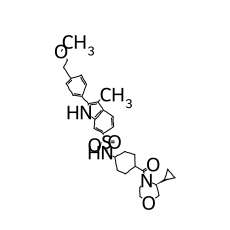 COCCc1ccc(-c2[nH]c3cc(S(=O)(=O)NC4CCC(C(=O)N5CCOC[C@@H]5C5CC5)CC4)ccc3c2C)cc1